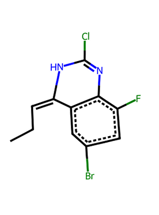 CC/C=C1/NC(Cl)=Nc2c(F)cc(Br)cc21